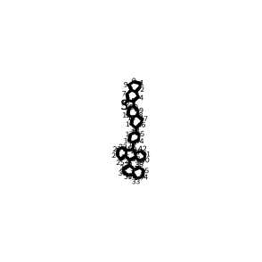 c1ccc2cc3c(cc2c1)sc1cc2cc(-c4ccc(-c5c6ccccc6c(-c6cccc7ccccc67)c6ccccc56)cc4)ccc2cc13